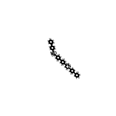 c1ccc(-c2ccc(C3=NN=C(c4ccc(-c5ccc(-c6nnc(-c7ccc(-c8ccccc8)cc7)o6)cc5)cc4)CC3)cc2)cc1